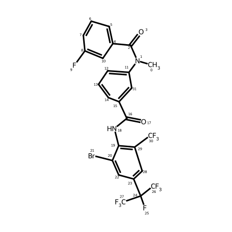 CN(C(=O)c1cccc(F)c1)c1cccc(C(=O)Nc2c(Br)cc(C(F)(C(F)(F)F)C(F)(F)F)cc2C(F)(F)F)c1